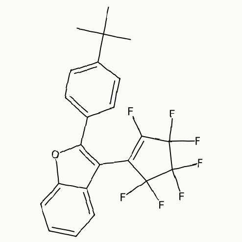 CC(C)(C)c1ccc(-c2oc3ccccc3c2C2=C(F)C(F)(F)C(F)(F)C2(F)F)cc1